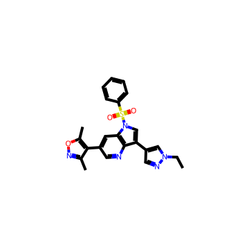 CCn1cc(-c2cn(S(=O)(=O)c3ccccc3)c3cc(-c4c(C)noc4C)cnc23)cn1